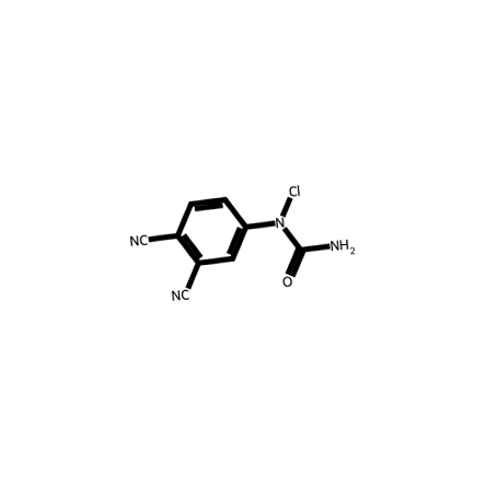 N#Cc1ccc(N(Cl)C(N)=O)cc1C#N